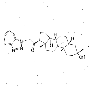 C[C@@]1(O)CC[C@H]2[C@H](CC[C@@H]3[C@@H]2CC[C@]2(C)[C@@H](C(=O)Cn4nnc5ncccc54)CC[C@@H]32)C1